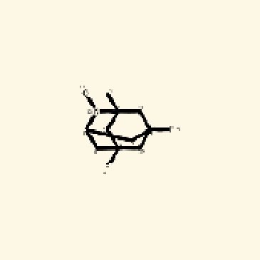 CC12CC3(F)CC(CC(F)(C3)C1)N2[O]